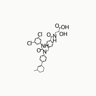 CC1C=C(c2ccc(N(Cc3ccc(C(=O)NCC(O)C(=O)O)cc3)C(=O)Nc3cc(Cl)cc(Cl)c3)cc2)CCC1